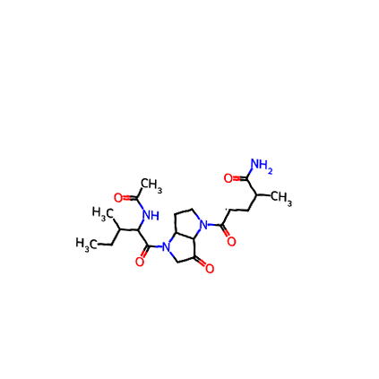 CCC(C)C(NC(C)=O)C(=O)N1CC(=O)C2C1CCN2C(=O)[CH]CC(C)C(N)=O